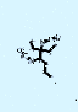 CCCC(N=C=O)C(CC)(CC)N=C=O